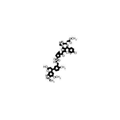 COC(=O)C[C@@H]1N=C(c2ccc(Cl)cc2)c2c(sc(C(=O)C34CC3CC(S(=O)(=O)NCc3cc(C(CC(=O)O)c5cc(OC)c6c(c5)nnn6C)ccc3C)C4)c2C)-n2cnnc21